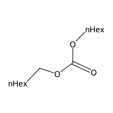 CCCCCCCOC(=O)OCCCCCC